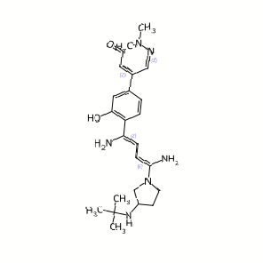 CN(C)/N=C\C(=C/C=O)c1ccc(/C(N)=C/C=C(\N)N2CCC(NC(C)(C)C)C2)c(O)c1